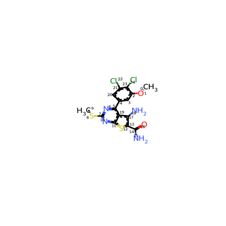 COc1cc(-c2nc(SC)nc3sc(C(N)=O)c(N)c23)cc(Cl)c1Cl